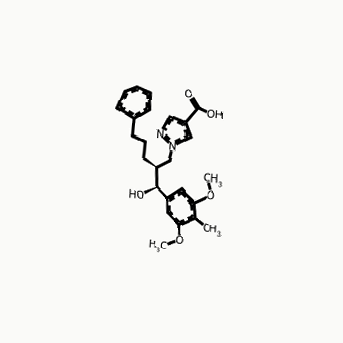 COc1cc([C@@H](O)[C@@H](CCCc2ccccc2)Cn2cc(C(=O)O)cn2)cc(OC)c1C